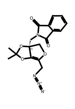 CC1(C)OC2=C(CN=[N+]=[N-])OC[C@]2(CN2C(=O)c3ccccc3C2=O)O1